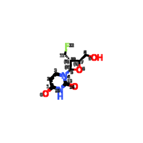 O=c1ccn([C@@H]2O[C@H](CO)[C@H]2CF)c(=O)[nH]1